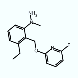 CCc1cccc(N(C)N)c1COc1cccc(F)n1